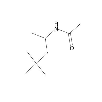 CC(=O)NC(C)CC(C)(C)C